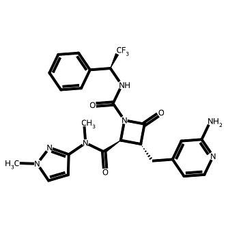 CN(C(=O)[C@@H]1[C@@H](Cc2ccnc(N)c2)C(=O)N1C(=O)N[C@@H](c1ccccc1)C(F)(F)F)c1ccn(C)n1